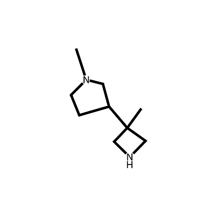 CN1CCC(C2(C)CNC2)C1